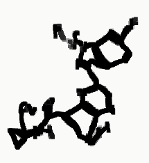 Cn1nc(-c2cnc3[nH]cc(C(=O)NC4(C#N)CC4)c3n2)c2ccc(F)cc21